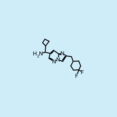 NC(c1cnn2cc(CC3CCC(F)(F)CC3)nc2c1)C1CCC1